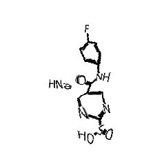 O=C(Nc1ccc(F)cc1)c1cnc(S(=O)O)nc1.[NaH]